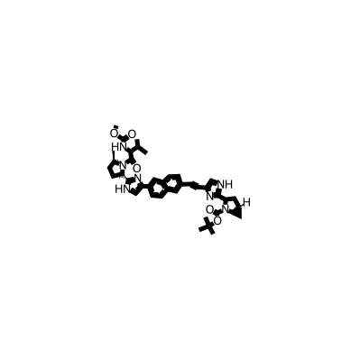 COC(=O)NC(C(=O)N1[C@H](C)CC[C@H]1c1nc(-c2ccc3cc(C#Cc4c[nH]c(C5C[C@H]6CC6N5C(=O)OC(C)(C)C)n4)ccc3c2)c[nH]1)C(C)C